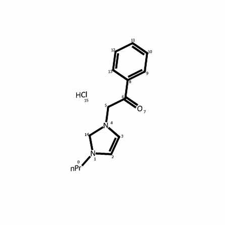 CCCN1C=CN(CC(=O)c2ccccc2)C1.Cl